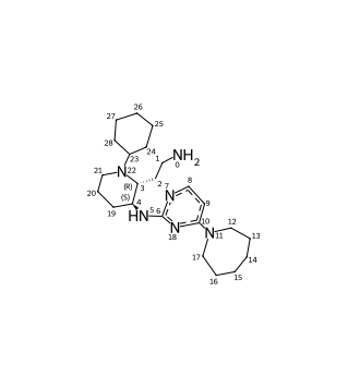 NCC[C@@H]1[C@@H](Nc2nccc(N3CCCCCC3)n2)CCCN1C1CCCCC1